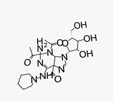 CC(=O)N1C2N([C@@H]3O[C@H](CO)C(O)C3O)C=NC2(C(C)=O)C(NN2CCCCC2)=NC1(N)C(C)=O